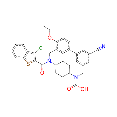 CCOc1ccc(-c2cccc(C#N)c2)cc1CN(C(=O)c1sc2ccccc2c1Cl)C1CCC(N(C)C(=O)O)CC1